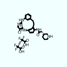 O=C(C[C@H]1CCCNC1)Nc1ccc2cc1CCc1cccc(c1)Nc1ncc(Cl)c(n1)N2.O=C(O)C(F)(F)F.O=C(O)C(F)(F)F